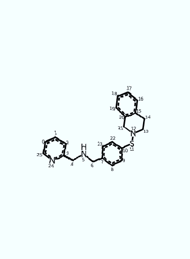 c1ccc(CNCc2ccc(SN3CCc4ccccc4C3)cc2)nc1